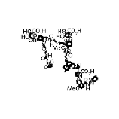 COCCN(CCOC1CC2(Cn3ncc(-c4ccc(N5CCc6c(OC)ccc(C(=O)Nc7nc8ccccc8s7)c6C5)nc4C(=O)O)c3C)CC3(C)CCC1C(C)(C3)C2)C(=O)OCc1ccc(O[C@@H]2O[C@H](C(=O)O)[C@@H](O)[C@H](O)[C@H]2O)cc1OCCOCCNC(=O)OCc1ccc(O[C@@H]2O[C@H](C(=O)O)[C@@H](O)[C@H](O)[C@H]2O)cc1OCCOCCNC(=O)CCN1C(=O)C=CC1=O